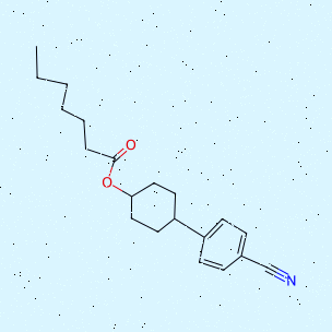 CCCCCCC(=O)OC1CCC(c2ccc(C#N)cc2)CC1